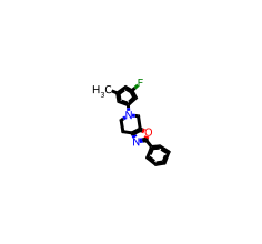 Cc1cc(F)cc(N2CCc3nc(-c4ccccc4)oc3C2)c1